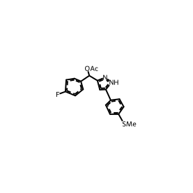 CSc1ccc(-c2cc(C(OC(C)=O)c3ccc(F)cc3)n[nH]2)cc1